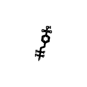 O=S(=O)(O)c1ccc(CCC(F)(F)C(F)(F)F)cc1